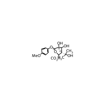 COc1ccc(O[C@@H]2OC(C(=O)O)[C@@H](C(C)(C)O)C(O)[C@@H]2O)cc1